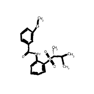 COc1cccc(C(=O)Nc2ccccc2S(=O)(=O)[C@H](C)C(C)C)c1